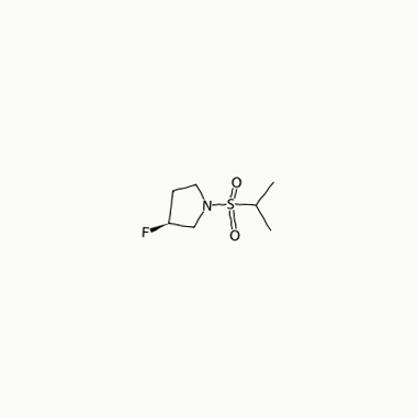 CC(C)S(=O)(=O)N1CC[C@H](F)C1